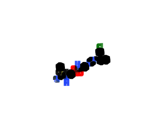 CN(C)CC[C@H](CSc1ccccc1)Nc1ccc(S(=O)(=O)NC(=O)c2ccc(N3CCN(Cc4ccc5ccccc5c4-c4ccc(Cl)cc4)CC3)cc2)cc1[N+](=O)[O-]